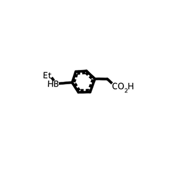 CCBc1ccc(CC(=O)O)cc1